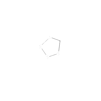 C1SSSS1